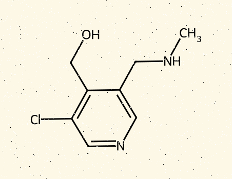 CNCc1cncc(Cl)c1CO